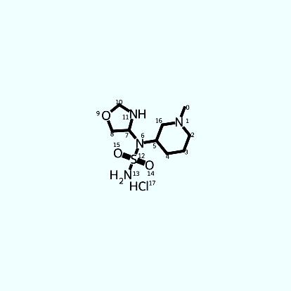 CN1CCCC(N(C2COCN2)S(N)(=O)=O)C1.Cl